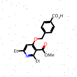 CCc1cc(OCc2ccc(C(=O)O)cc2)c(C(=O)OC)c(CC)n1